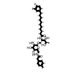 Cc1ccc(CC(=O)NCC2O[C@H](OC[C@H](NC(=O)CCCCCCCCCCc3ccc(F)c(F)c3)[C@H](O)[C@@H](C)O)C(O)C(O)[C@H]2O)cc1